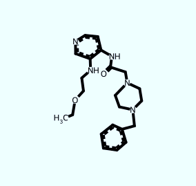 CCOCCNc1cnccc1NC(=O)CN1CCN(Cc2ccccc2)CC1